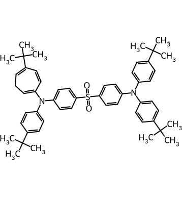 CC(C)(C)C1=CCC=C(N(c2ccc(C(C)(C)C)cc2)c2ccc(S(=O)(=O)c3ccc(N(c4ccc(C(C)(C)C)cc4)c4ccc(C(C)(C)C)cc4)cc3)cc2)C=C1